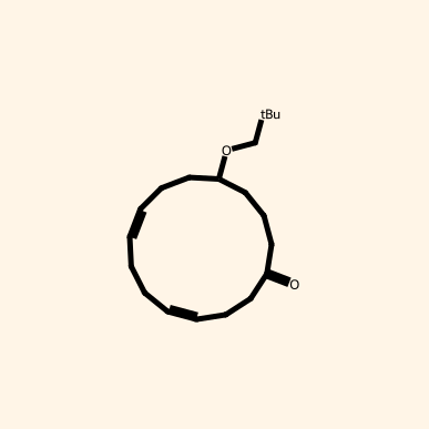 CC(C)(C)COC1CCC=CCCC=CCCC(=O)CCC1